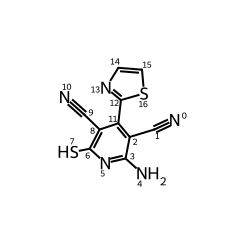 N#Cc1c(N)nc(S)c(C#N)c1-c1nccs1